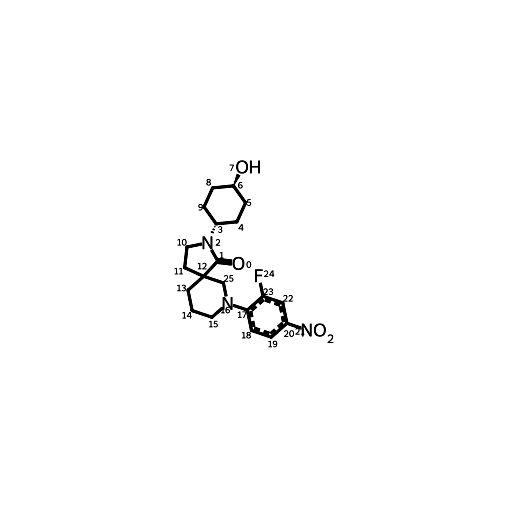 O=C1N([C@H]2CC[C@H](O)CC2)CCC12CCCN(c1ccc([N+](=O)[O-])cc1F)C2